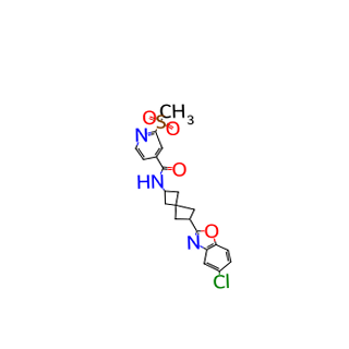 CS(=O)(=O)c1cc(C(=O)NC2CC3(C2)CC(c2nc4cc(Cl)ccc4o2)C3)ccn1